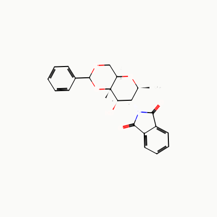 CS[C@@H]1O[C@@H]2COC(c3ccccc3)O[C@H]2[C@H](O)[C@H]1N1C(=O)c2ccccc2C1=O